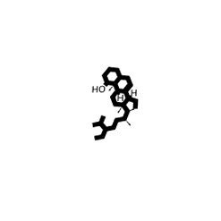 CCC(CC[C@@H](C)[C@H]1CC[C@H]2C3=CCC4CCCC(O)[C@]4(C)[C@H]3CC[C@]12C)C(C)C